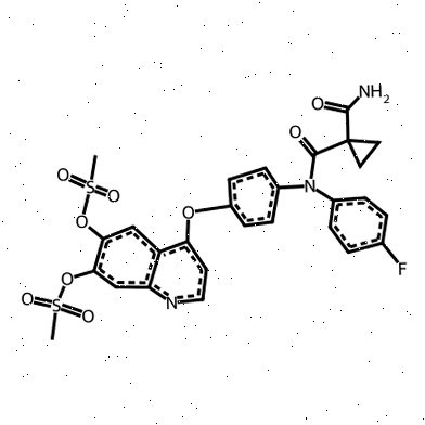 CS(=O)(=O)Oc1cc2nccc(Oc3ccc(N(C(=O)C4(C(N)=O)CC4)c4ccc(F)cc4)cc3)c2cc1OS(C)(=O)=O